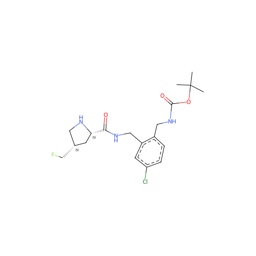 CC(C)(C)OC(=O)NCc1ccc(Cl)cc1CNC(=O)[C@@H]1C[C@H](CF)CN1